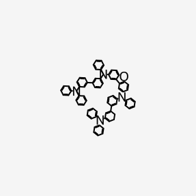 C1=C(c2cccc(N(c3ccccc3)c3ccc4oc5ccc(N(c6ccccc6)c6cccc(-c7cccc(N(c8ccccc8)c8ccccc8)c7)c6)cc5c4c3)c2)CCC=C1N(c1ccccc1)c1ccccc1